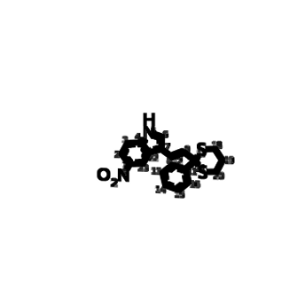 O=[N+]([O-])c1ccc2[nH]cc(/C=C/C3(c4ccccc4)SCCCS3)c2c1